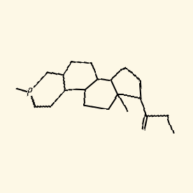 C=C(CC)C1CCC2C3CCC4CP(C)CCC4C3CCC12C